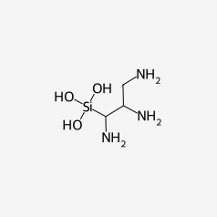 NCC(N)C(N)[Si](O)(O)O